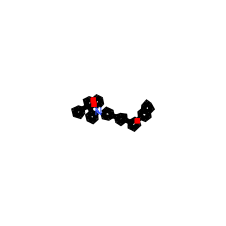 c1ccc(-c2ccccc2-c2ccccc2N(c2ccccc2)c2ccc(-c3ccc(-c4cccc(-c5ccc6ccccc6c5)c4)cc3)cc2)cc1